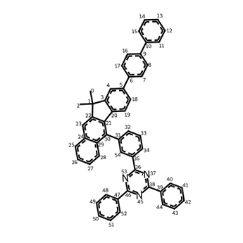 CC1(C)c2cc(-c3ccc(-c4ccccc4)cc3)ccc2-c2c1cc1ccccc1c2-c1cccc(-c2nc(-c3ccccc3)nc(-c3ccccc3)n2)c1